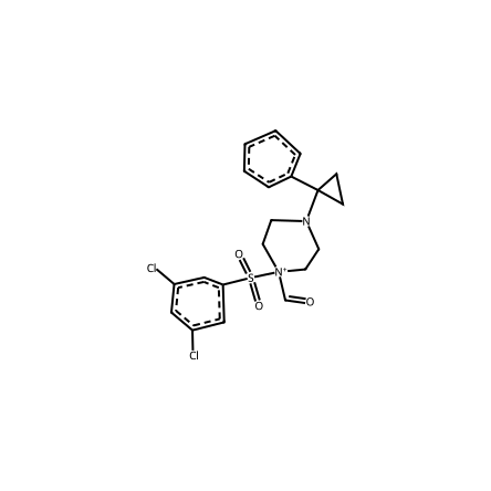 O=C[N+]1(S(=O)(=O)c2cc(Cl)cc(Cl)c2)CCN(C2(c3ccccc3)CC2)CC1